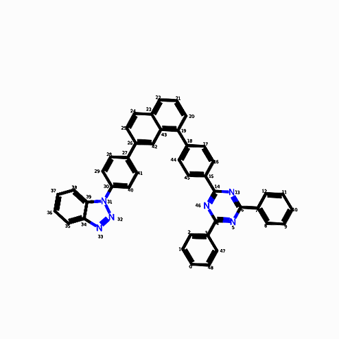 c1ccc(-c2nc(-c3ccccc3)nc(-c3ccc(-c4cccc5ccc(-c6ccc(-n7nnc8ccccc87)cc6)cc45)cc3)n2)cc1